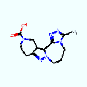 Cc1nnc2n1CCCn1nc3c(c1-2)CN(C(=O)O)CC3